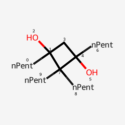 CCCCCC1(O)CC(O)(CCCCC)C1(CCCCC)CCCCC